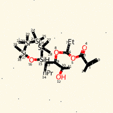 C=C(C)C(=O)OC(CC)OC(C(C)O)C(CCC)[SiH]1O[Si](C)(C)[Si](C)(C)[Si](C)(C)[Si]1(C)C